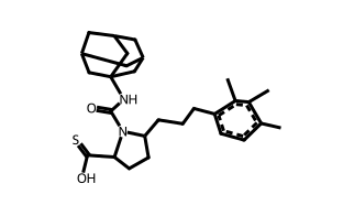 Cc1ccc(CCCC2CCC(C(O)=S)N2C(=O)NC23CC4CC(CC(C4)C2)C3)c(C)c1C